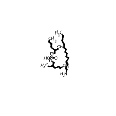 CCCCC(CC)COP(=O)(O)OCC(CC)CCCC.CCCCCCCCCCCCCCN